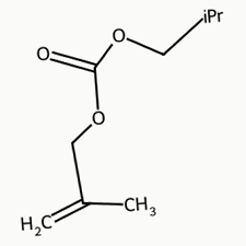 C=C(C)COC(=O)OCC(C)C